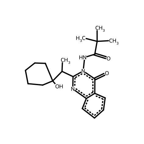 CC(c1nc2ccccc2c(=O)n1NC(=O)C(C)(C)C)C1(O)CCCCC1